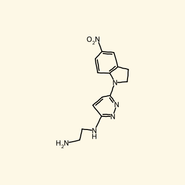 NCCNc1ccc(N2CCc3cc([N+](=O)[O-])ccc32)nn1